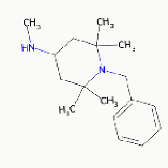 CNC1CC(C)(C)N(Cc2ccccc2)C(C)(C)C1